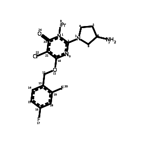 CC(C)n1c(N2CCC(N)C2)nc(OCc2ccc(F)cc2F)c(Cl)c1=O